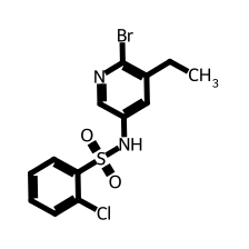 CCc1cc(NS(=O)(=O)c2ccccc2Cl)cnc1Br